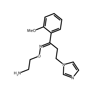 COc1ccccc1C(CCn1ccnc1)=NOCCN